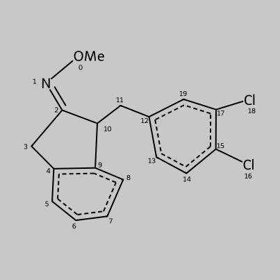 CO/N=C1/Cc2ccccc2C1Cc1ccc(Cl)c(Cl)c1